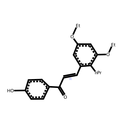 CCCc1c(/C=C/C(=O)c2ccc(O)cc2)cc(OCC)cc1OCC